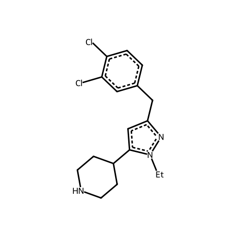 CCn1nc(Cc2ccc(Cl)c(Cl)c2)cc1C1CCNCC1